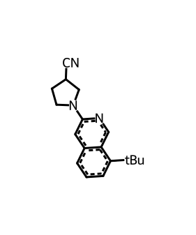 CC(C)(C)c1cccc2cc(N3CCC(C#N)C3)ncc12